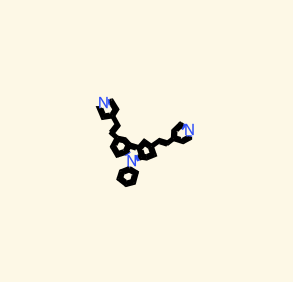 C(=Cc1ccc2c(c1)c1cc(C=Cc3ccncc3)ccc1n2-c1ccccc1)c1ccncc1